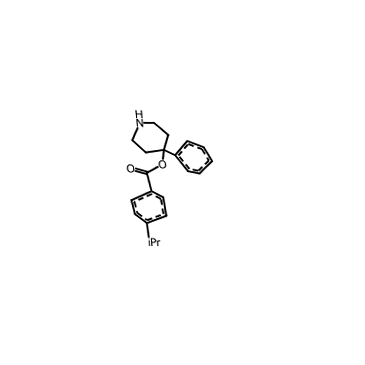 CC(C)c1ccc(C(=O)OC2(c3ccccc3)CCNCC2)cc1